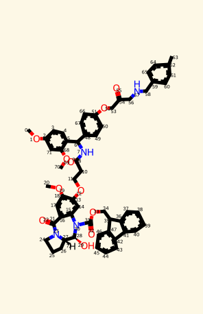 COc1ccc(C(NC(=O)CCOc2cc3c(cc2OC)C(=O)N2CCC[C@H]2[C@H](O)N3C(=O)OCC2c3ccccc3-c3ccccc32)c2ccc(OCC(=O)CNCc3ccc(C)cc3)cc2)c(OC)c1